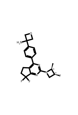 C[C@H]1[C@@H](F)CN1c1nc(-c2ccc(C3(N)COC3)cc2)c2c(n1)C(F)(F)CC2